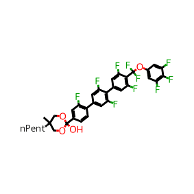 CCCCCC1(C)COC(O)(c2ccc(-c3cc(F)c(-c4cc(F)c(C(F)(F)Oc5cc(F)c(F)c(F)c5)c(F)c4)c(F)c3)c(F)c2)OC1